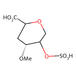 CO[C@@H]1CC(C(=O)O)OCC1OS(=O)(=O)O